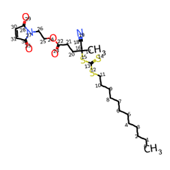 CCCCCCCCCCCCSC(=S)SC(C)(C#N)CCC(=O)OCCN1C(=O)C=CC1=O